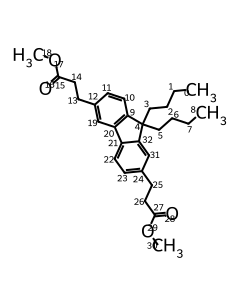 CCCCC1(CCCC)c2ccc(CCC(=O)OC)cc2-c2ccc(CCC(=O)OC)cc21